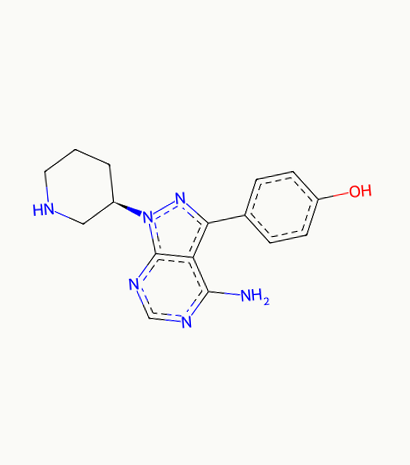 Nc1ncnc2c1c(-c1ccc(O)cc1)nn2[C@@H]1CCCNC1